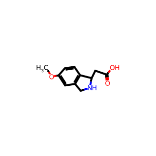 COc1ccc2c(c1)CNC2CC(=O)O